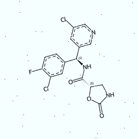 O=C1NC[C@@H](C(=O)N[C@H](c2cncc(Cl)c2)c2ccc(F)c(Cl)c2)O1